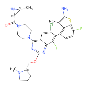 C[C@H]1N[C@H]1C(=O)N1CCN(c2nc(OC[C@@H]3CCCN3C)nc3c(F)c(-c4ccc(F)c5sc(N)c(C#N)c45)c(Cl)cc23)CC1